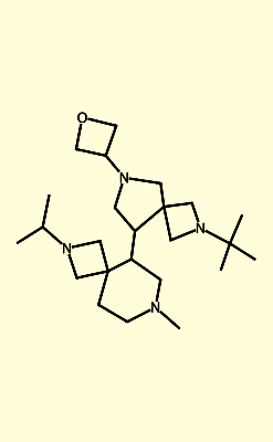 CC(C)N1CC2(CCN(C)CC2C2CN(C3COC3)CC23CN(C(C)(C)C)C3)C1